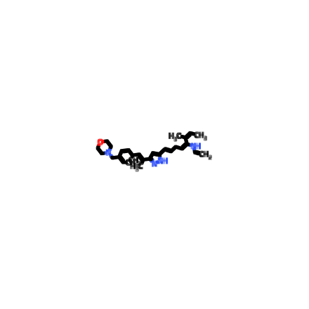 C=CNC(=C/C/C=C/c1cc(/C(C)=C/C(C)/C=C\C(=C/C)CN2CCOCC2)n[nH]1)/C(C)=C\C